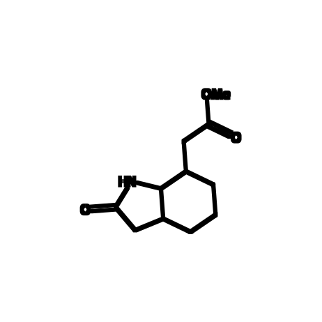 COC(=O)CC1CCCC2CC(=O)NC21